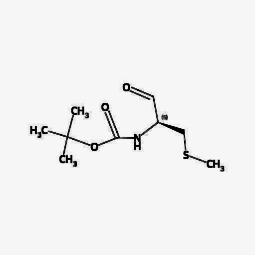 CSC[C@H](C=O)NC(=O)OC(C)(C)C